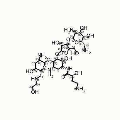 NCC[C@H](O)C(=O)N[C@@H]1C[C@H](N)[C@@H](O[C@H]2O[C@H](CNCCO)[C@@H](O)C[C@H]2N)[C@H](O[C@@H]2O[C@H](CO)[C@@H](O[C@H]3O[C@@H](CN)[C@@H](O)[C@H](O)[C@H]3N)[C@H]2O)[C@H]1O